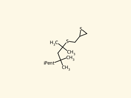 CCCC(C)C(C)(C)CC(C)(C)SCC1CS1